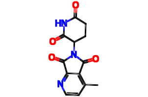 Cc1ccnc2c1C(=O)N(C1CCC(=O)NC1=O)C2=O